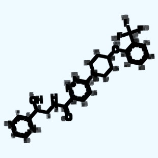 O=C(NCC(O)c1cnccn1)c1ccc(N2CCC(Oc3ccccc3C(F)(F)F)CC2)nn1